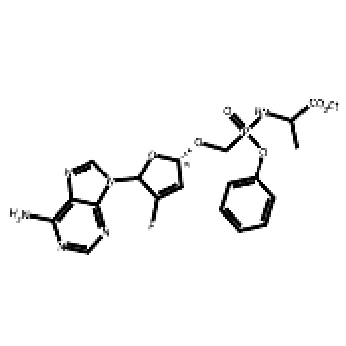 CCOC(=O)C(C)NP(=O)(CO[C@@H]1C=C(F)C(n2cnc3c(N)ncnc32)O1)Oc1ccccc1